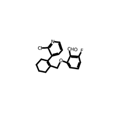 O=Cc1c(F)cccc1OCC1=C(c2cccnc2Cl)CCCC1